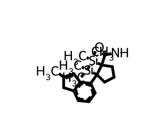 CC1=Cc2c(cccc2C23CCCC2(C([NH])=O)[Si](C)(C)[Si]3(C)C)C1